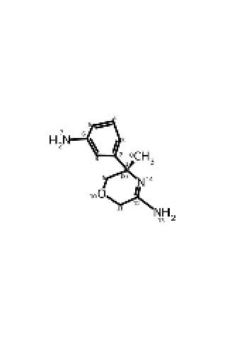 C[C@]1(c2cccc(N)c2)COCC(N)=N1